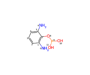 Nc1cccc(N)c1OP(O)O